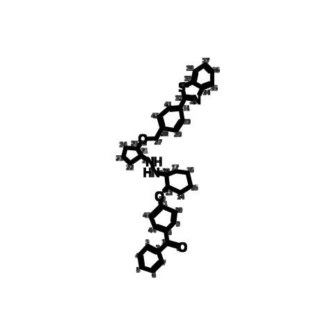 O=C(c1ccccc1)c1ccc(OC2CCCCC2NNC2CCCC2OCc2ccc(-c3nc4ccccc4s3)cc2)cc1